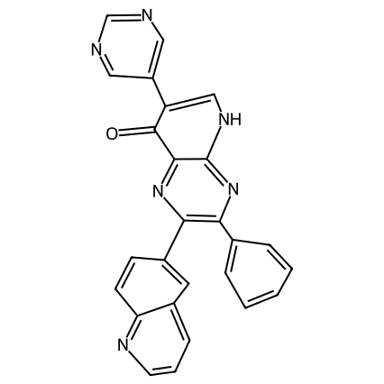 O=c1c(-c2cncnc2)c[nH]c2nc(-c3ccccc3)c(-c3ccc4ncccc4c3)nc12